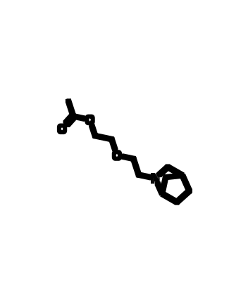 CC(=O)OCCOCCN1CC2CCC1C2